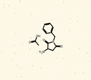 CC(=O)O.NC1CC(=O)N(Cc2ccccc2)C1=O